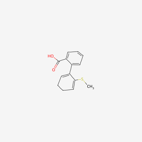 CSC1=CCCC=C1c1ccccc1C(=O)O